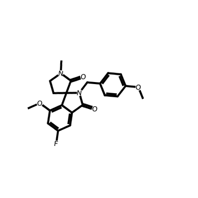 COc1ccc(CN2C(=O)c3cc(F)cc(OC)c3C23CCN(C)C3=O)cc1